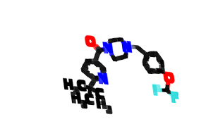 CC(C)(C)c1ccc(C(=O)N2CCN(Cc3ccc(OC(F)F)cc3)CC2)cn1